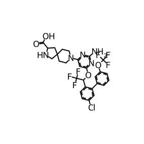 Nc1nc(OC(c2ccc(Cl)cc2-c2cccc(OC(F)(F)F)c2)C(F)(F)F)cc(N2CCC3(CC2)CNC(C(=O)O)C3)n1